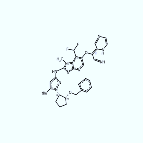 Cn1c(Nc2cc(C(C)(C)C)n([C@H]3CCC[C@H]3OCc3ccccc3)n2)nc2ncc(O/C(C=N)=C3\C=NC=CN3)c(C(F)F)c21